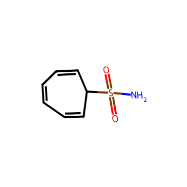 NS(=O)(=O)C1C=CC=CC=C1